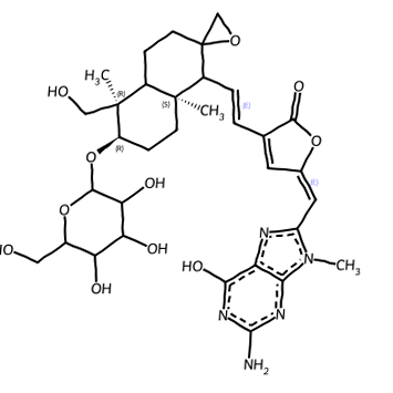 Cn1c(/C=C2C=C(/C=C/C3C4(CCC5[C@]3(C)CC[C@@H](OC3OC(CO)C(O)C(O)C3O)[C@@]5(C)CO)CO4)C(=O)O\2)nc2c(O)nc(N)nc21